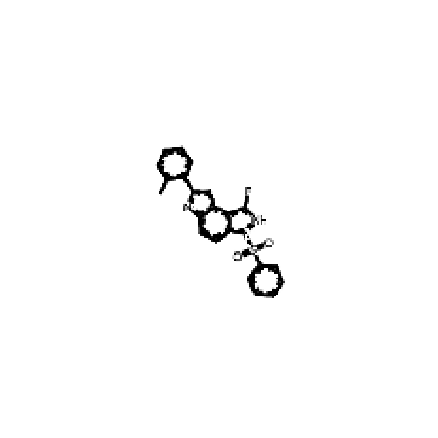 Cc1ccccc1-c1cc2c(ccc3c2c(F)[nH]n3S(=O)(=O)c2ccccc2)n1